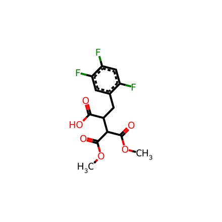 COC(=O)C(C(=O)OC)C(Cc1cc(F)c(F)cc1F)C(=O)O